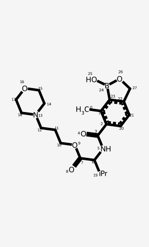 Cc1c(C(=O)NC(C(=O)OCCCN2CCOCC2)C(C)C)ccc2c1B(O)OC2